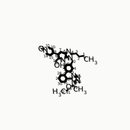 CCCCc1nc2cc(-c3cc[n+]([O-])cc3)c(CO)nc2n1Cc1ccc(-c2ccccc2-c2nnnn2C(C)OCC)cc1